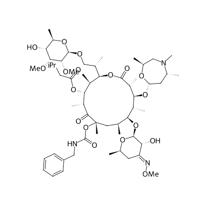 CON=C1C[C@@H](C)O[C@@H](O[C@@H]2[C@@H](C)[C@H](O[C@H]3C[C@@H](C)N(C)C[C@H](C)O3)[C@@H](C)C(=O)O[C@H]([C@@H](C)CO[C@@H]3O[C@H](C)[C@@H](O)[C@@H](OC)[C@H]3OC)[C@H](C)[C@@H](OC(=O)CC(C)C)[C@@H](C)C(=O)[C@@](C)(OC(=O)NCc3ccccc3)C[C@@H]2C)[C@@H]1O